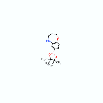 CC1(C)OB(c2ccc3c(c2)NCCCO3)OC1(C)C